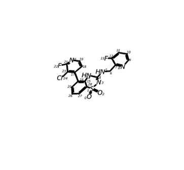 O=S1(=O)N=C(NCc2ncccc2F)Nc2c(-c3ccnc(F)c3Cl)cccc21